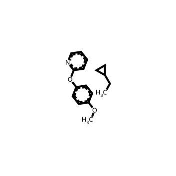 CCC1CC1.COc1ccc(Oc2ccccn2)cc1